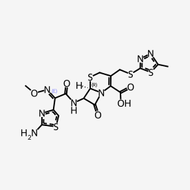 CO/N=C(/C(=O)NC1C(=O)N2C(C(=O)O)=C(CSc3nnc(C)s3)CS[C@H]12)c1csc(N)n1